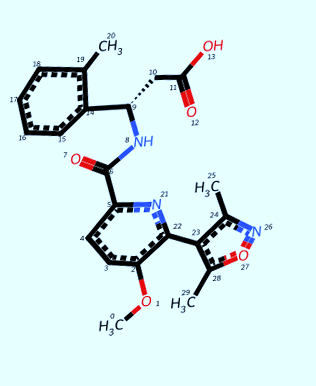 COc1ccc(C(=O)N[C@@H](CC(=O)O)c2ccccc2C)nc1-c1c(C)noc1C